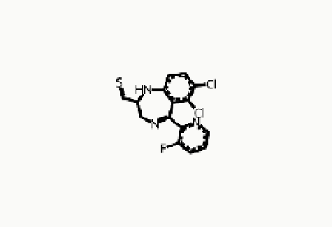 Fc1cccnc1C1=NCC(C=S)Nc2ccc(Cl)c(Cl)c21